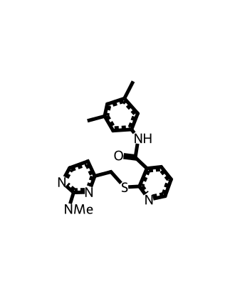 CNc1nccc(CSc2ncccc2C(=O)Nc2cc(C)cc(C)c2)n1